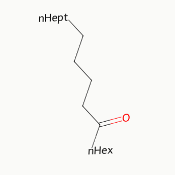 [CH2]CCCCCCCCCCC(=O)CCCCCC